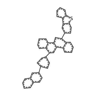 c1ccc2cc(-c3ccc(-c4cc5c6ccccc6c(-c6ccc7sc8ccccc8c7c6)cc5c5ccccc45)cc3)ccc2c1